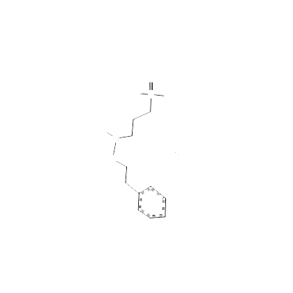 CC(=O)N(CCCP(=O)([O-])[O-])OCCc1ccccc1.[H+].[Na+]